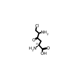 NC(CCl)C(=O)C[C@H](N)C(=O)O